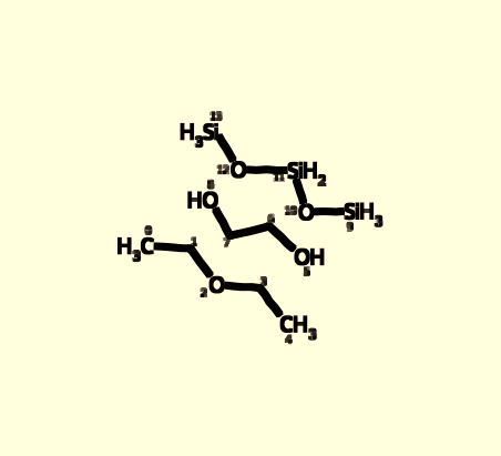 CCOCC.OCCO.[SiH3]O[SiH2]O[SiH3]